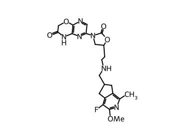 COc1nc(C)c2c(c1F)CC(CNCCC1CN(c3cnc4c(n3)NC(=O)CO4)C(=O)O1)C2